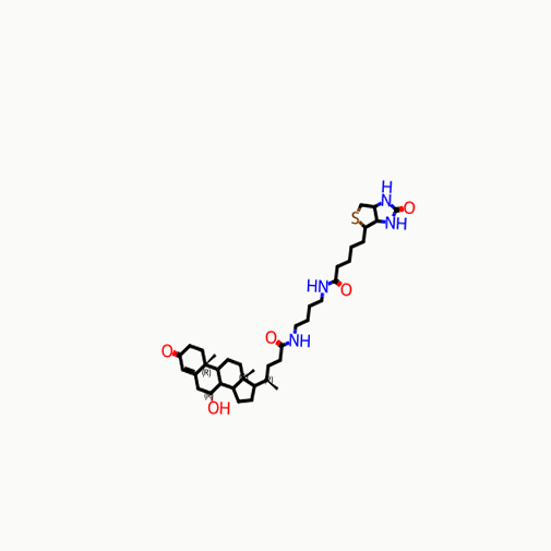 C[C@H](CCC(=O)NCCCCNC(=O)CCCCC1SCC2NC(=O)NC21)C1CCC2C3C(CC[C@@]21C)[C@@]1(C)CCC(=O)C=C1C[C@H]3O